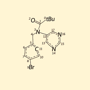 CC(C)(C)C(=O)N(Cc1ccc(Br)cc1)c1cncnc1